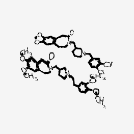 COc1ccc(CCN2CCC(CN3C=Cc4cc(OC)c(OC)cc4CC3=O)C2)cc1OC.O=C1Cc2cc3c(cc2CCN1CC1CCCN(Cc2ccc(Cl)c(Cl)c2)C1)OCO3